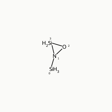 [SiH3]N1O[SiH2]1